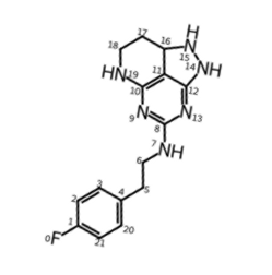 Fc1ccc(CCNc2nc3c4c(n2)NNC4CCN3)cc1